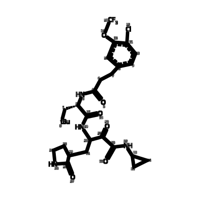 CC(C)(C)C[C@H](NC(=O)CCc1ccc(Cl)c(OC(F)(F)F)c1)C(=O)NC(CC1CCNC1=O)C(=O)C(=O)NC1CC1